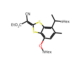 CCCCCCOc1cc(C)c(C(C)CCCCCC)c2c1S/C(=C(/C#N)C(=O)OCC)S2